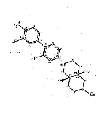 CCCCC1CC[C@@H]2C[C@H](c3ccc(-c4ccc(C(F)(F)F)c(F)c4)c(F)c3)CC[C@@H]2C1